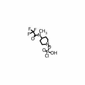 CN(C(=O)C(F)(F)F)C1CCN(OP(=O)(O)Cl)CC1